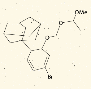 COC(C)OCO[C]1C=C(Br)C=CC1C12CC3CC(CC(C3)C1)C2